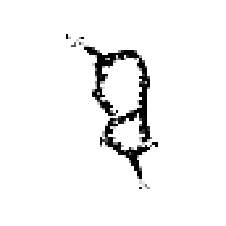 CCc1nc2ccc(C(F)(F)F)cn2n1